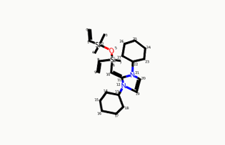 C=C[Si](C)(C)O[Si](C)(C=C)C=C1N(C2CCCCC2)C=CN1C1CCCCC1